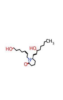 CCCCCC(O)/C=C/[C@H]1CCCC(=O)N1C/C=C\CCCCO